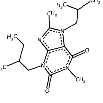 CCC(C)Cn1c(=O)n(C)c(=O)c2c1nc(C)n2CC(C)C